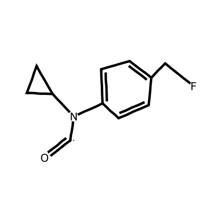 O=[C]N(c1ccc(CF)cc1)C1CC1